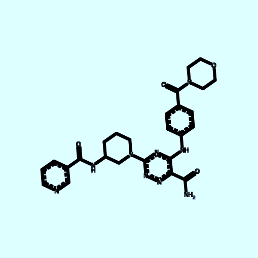 NC(=O)c1nnc(N2CCCC(NC(=O)c3cccnc3)C2)nc1Nc1ccc(C(=O)N2CCOCC2)cc1